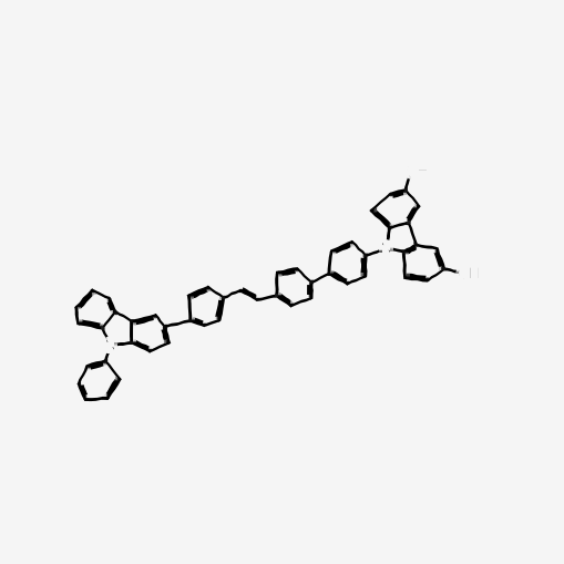 Cc1ccc2c(c1)c1cc(C)ccc1n2-c1ccc(-c2ccc(/C=C/c3ccc(-c4ccc5c(c4)c4ccccc4n5-c4ccccc4)cc3)cc2)cc1